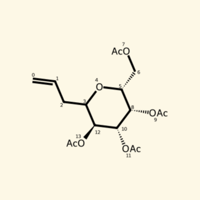 C=CCC1O[C@H](COC(C)=O)[C@H](OC(C)=O)[C@H](OC(C)=O)[C@H]1OC(C)=O